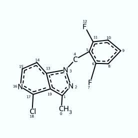 Cc1nn(Cc2c(F)cccc2F)c2ccnc(Cl)c12